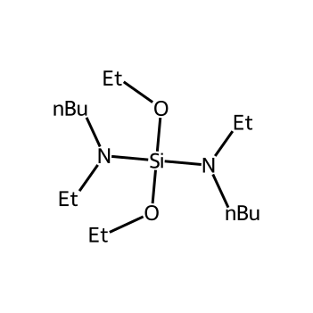 CCCCN(CC)[Si](OCC)(OCC)N(CC)CCCC